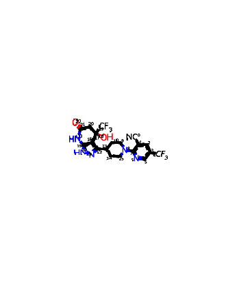 N#Cc1cc(C(F)(F)F)cnc1N1CCC(c2n[nH]c3c2C(O)(C(F)(F)F)CC(=O)N3)CC1